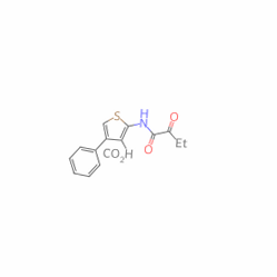 CCC(=O)C(=O)Nc1scc(-c2ccccc2)c1C(=O)O